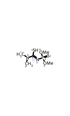 COP(=S)(/N=C(\S)N(C)C)OC